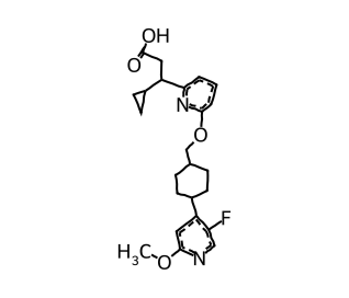 COc1cc(C2CCC(COc3cccc(C(CC(=O)O)C4CC4)n3)CC2)c(F)cn1